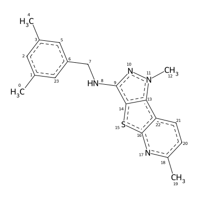 Cc1cc(C)cc(CNc2nn(C)c3c2sc2nc(C)ccc23)c1